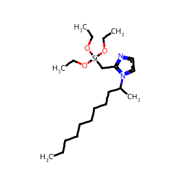 CCCCCCCCCC(C)n1ccnc1C[Si](OCC)(OCC)OCC